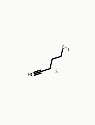 C#CCCCC.[Si]